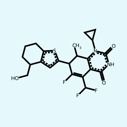 CC1c2c(c(=O)[nH]c(=O)n2C2CC2)C(C(F)F)=C(F)C1c1cc2c(s1)CCCC2CO